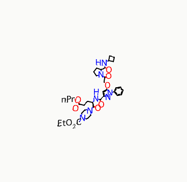 CCCOC(=O)CCC(NC(=O)c1cc(OCC(=O)N2CCCC2C(=O)NC2CCC2)n(-c2ccccc2)n1)C(=O)N1CCN(C(=O)OCC)CC1